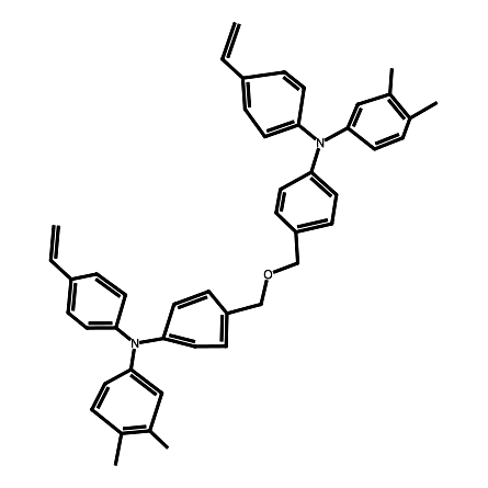 C=Cc1ccc(N(c2ccc(COCc3ccc(N(c4ccc(C=C)cc4)c4ccc(C)c(C)c4)cc3)cc2)c2ccc(C)c(C)c2)cc1